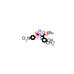 CC1(C)CCc2sc(NC(=O)Oc3ccc([N+](=O)[O-])cc3)c(C(=O)OC(C)(C)C)c2C1